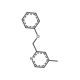 Cc1ccnc(COc2cc[c]cc2)c1